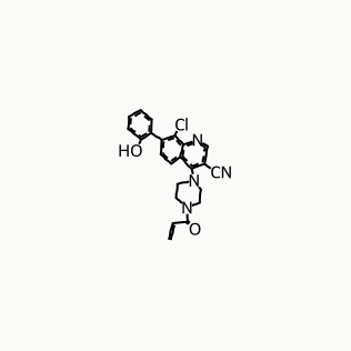 C=CC(=O)N1CCN(c2c(C#N)cnc3c(Cl)c(-c4ccccc4O)ccc23)CC1